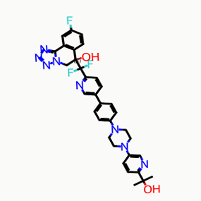 CC(C)(O)c1ccc(N2CCN(c3ccc(-c4ccc(C(F)(F)[C@]5(O)Cn6nnnc6-c6cc(F)ccc65)nc4)cc3)CC2)cn1